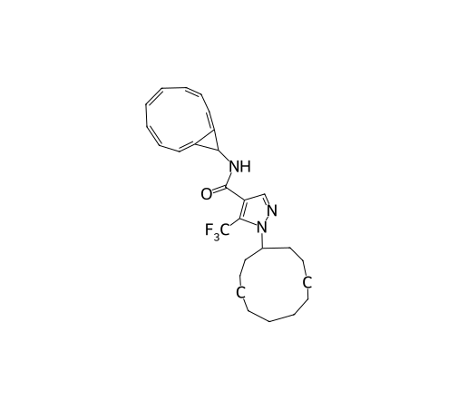 O=C(NC1c2ccccccccc21)c1cnn(C2CCCCCCCCCC2)c1C(F)(F)F